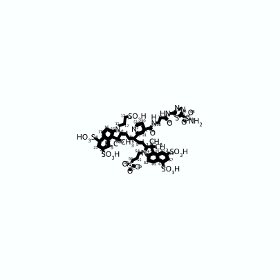 CC1(C)C(/C=C/C(=C/C=C2/N(CCCS(=O)(=O)O)c3ccc4c(S(=O)(=O)O)cc(S(=O)(=O)O)cc4c3C2(C)C)c2cc(C(=O)NCCC(=O)Nc3nnc(S(N)(=O)=O)s3)ccn2)=[N+](CCCS(=O)(=O)[O-])c2ccc3c(S(=O)(=O)O)cc(S(=O)(=O)O)cc3c21